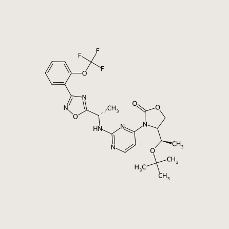 C[C@H](Nc1nccc(N2C(=O)OCC2[C@@H](C)OC(C)(C)C)n1)c1nc(-c2ccccc2OC(F)(F)F)no1